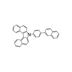 c1ccc2cc(-c3ccc(-n4c5ccc6ccccc6c5c5c6ccccc6ccc54)cc3)ccc2c1